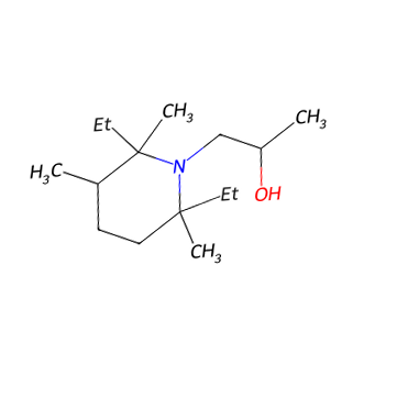 CCC1(C)CCC(C)C(C)(CC)N1CC(C)O